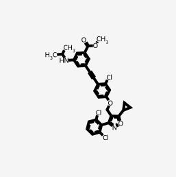 COC(=O)c1cc(C#Cc2ccc(OCc3c(-c4c(Cl)cccc4Cl)noc3C3CC3)cc2Cl)cc(NC(C)C)c1